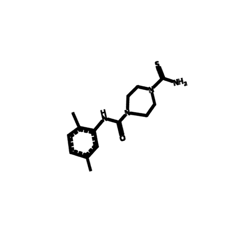 Cc1ccc(C)c(NC(=O)N2CCN(C(N)=S)CC2)c1